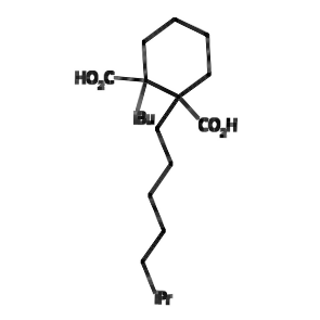 CCC(C)C1(C(=O)O)CCCCC1(CCCCCC(C)C)C(=O)O